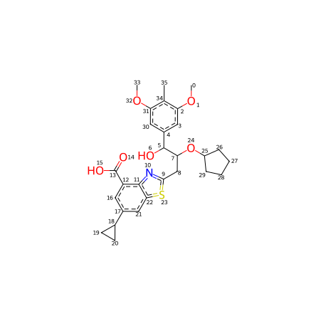 COc1cc(C(O)C(Cc2nc3c(C(=O)O)cc(C4CC4)cc3s2)OC2CCCC2)cc(OC)c1C